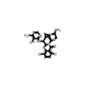 Nc1cnc(-n2c(C(Nc3ncnc(N)c3Cl)C3CC3)nc3c(Cl)ccc(Cl)c3c2=O)cn1